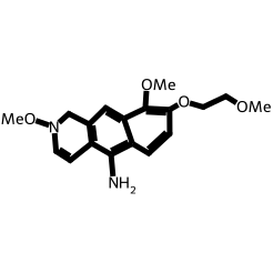 COCCOc1ccc2c(N)c3c(cc2c1OC)CN(OC)C=C3